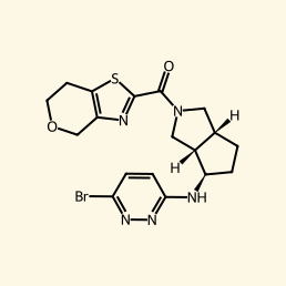 O=C(c1nc2c(s1)CCOC2)N1C[C@@H]2CC[C@@H](Nc3ccc(Br)nn3)[C@@H]2C1